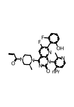 C=CC(=O)N1CCN(c2nc(=O)n(-c3c(CCC)ccnc3C)c3nc(-c4c(O)cccc4F)c(F)cc23)[C@@H](C)C1